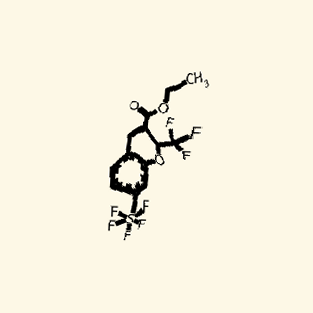 CCOC(=O)C1=Cc2ccc(S(F)(F)(F)(F)F)cc2OC1C(F)(F)F